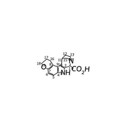 O=C(O)C1c2[nH]c3ccc4c(c3c2C2CCN1C2)CCCO4